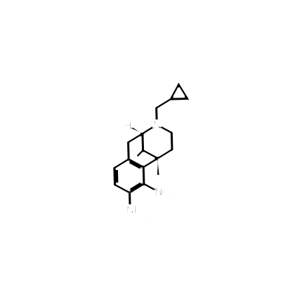 CC1[C@@H]2Cc3ccc(N)c([N+](=O)[O-])c3[C@@]1(C)CCN2CC1CC1